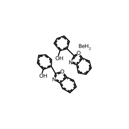 Oc1ccccc1-c1nc2ccccc2o1.Oc1ccccc1-c1nc2ccccc2o1.[BeH2]